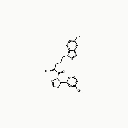 C=C(CCCn1ncc2cc(C#N)ccc21)C(=O)N1N=CCC1c1cccc(C)c1